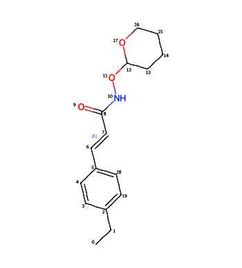 CCc1ccc(/C=C/C(=O)NOC2CCCCO2)cc1